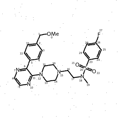 COCc1ccc(-c2nccnc2N2CCN(CCN(C)S(=O)(=O)c3ccc(F)cc3)CC2)cc1